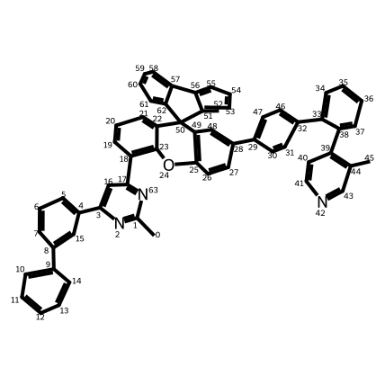 Cc1nc(-c2cccc(-c3ccccc3)c2)cc(-c2cccc3c2Oc2ccc(-c4ccc(-c5ccccc5-c5ccncc5C)cc4)cc2C32c3ccccc3-c3ccccc32)n1